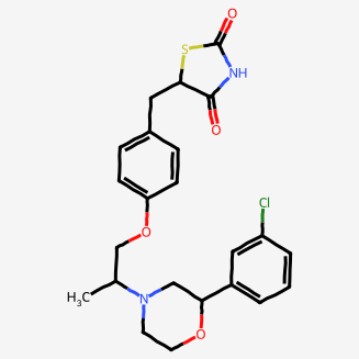 CC(COc1ccc(CC2SC(=O)NC2=O)cc1)N1CCOC(c2cccc(Cl)c2)C1